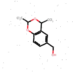 OCc1ccc2c(c1)C(C(Cl)(Cl)Cl)OC(C(Cl)(Cl)Cl)O2